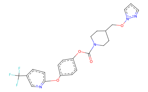 O=C(Oc1ccc(Oc2ccc(C(F)(F)F)cn2)cc1)N1CCC(COn2cccn2)CC1